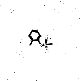 Cc1cc[c]cc1OS(C)(=O)=O